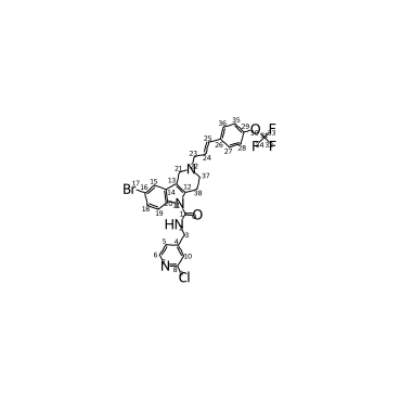 O=C(NCc1ccnc(Cl)c1)n1c2c(c3cc(Br)ccc31)CN(C/C=C/c1ccc(OC(F)(F)F)cc1)CC2